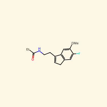 CCC(=O)NCCC1=CCc2cc(F)c(OC)cc21